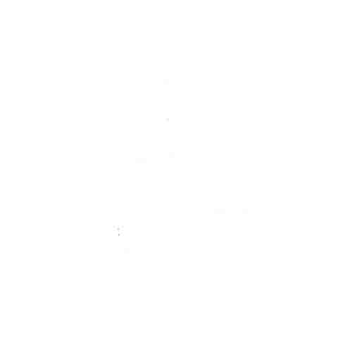 CCCCC/C=C\C/C=C\CCCCCCCC(=O)OC[C@H](CO[C@H]1CC[C@@H](O)CO1)OC(=O)CCCCCCC/C=C\C/C=C\CCCCC